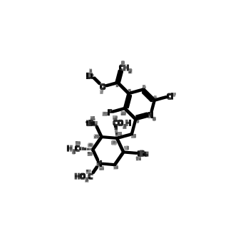 C=C(OCC)c1cc(Cl)nc(C[C@@]2(C(=O)O)C(C(C)(C)C)CN(C(=O)O)[C@H](C)C2C(C)(C)C)c1F